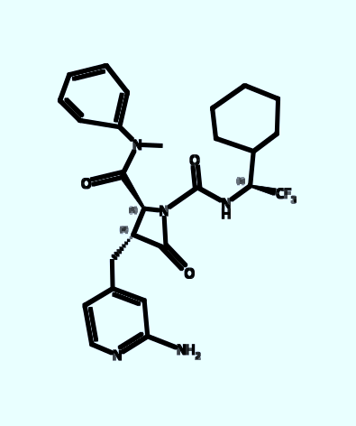 CN(C(=O)[C@@H]1[C@@H](Cc2ccnc(N)c2)C(=O)N1C(=O)N[C@@H](C1CCCCC1)C(F)(F)F)c1ccccc1